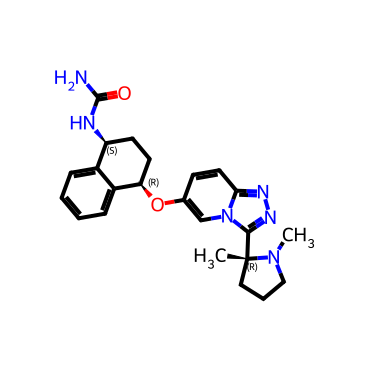 CN1CCC[C@]1(C)c1nnc2ccc(O[C@@H]3CC[C@H](NC(N)=O)c4ccccc43)cn12